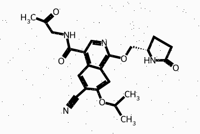 CC(=O)CNC(=O)c1cnc(OC[C@@H]2CCC(=O)N2)c2cc(OC(C)C)c(C#N)cc12